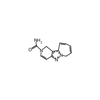 NC(=O)N1C=Cc2nn3c(c2C1)C=CC=CC3